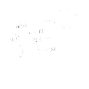 CCCCC1N(Cc2ccccc2)CC2(C)CCC1(C)N2